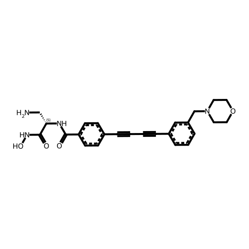 NC[C@H](NC(=O)c1ccc(C#CC#Cc2cccc(CN3CCOCC3)c2)cc1)C(=O)NO